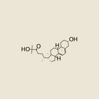 C[C@H](CCC(=O)C(C)(C)O)[C@H]1CC[C@H]2C3=CC=C4C[C@@H](O)CC[C@]4(C)[C@H]3CC[C@]12C